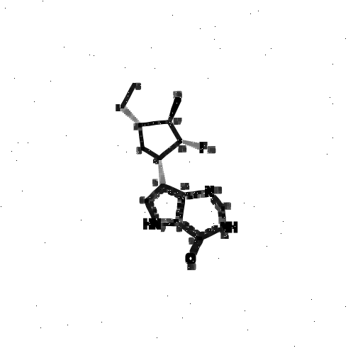 CC[C@H]1C[C@@H](c2c[nH]c3c(=O)[nH]cnc23)[C@@H](F)[C@@H]1C